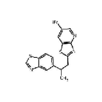 CC(C)c1cnc2nc(CC(C)c3ccc4scnc4c3)sc2c1